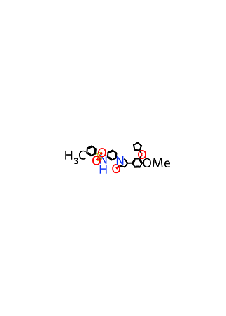 COc1ccc(C2CC(=O)N(c3cccc(NS(=O)(=O)c4cccc(C)c4)c3)C2)cc1OC1CCCC1